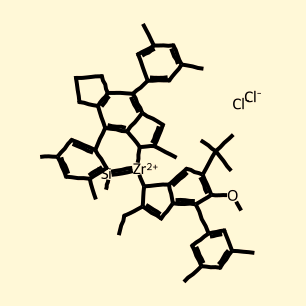 CCC1=Cc2c(cc(C(C)(C)C)c(OC)c2-c2cc(C)cc(C)c2)[CH]1[Zr+2]([CH]1C(C)=Cc2c(-c3cc(C)cc(C)c3)c3c(c(-c4cc(C)cc(C)c4)c21)CCC3)=[Si](C)C.[Cl-].[Cl-]